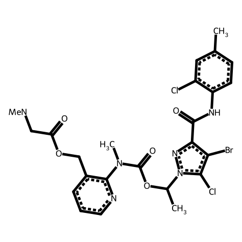 CNCC(=O)OCc1cccnc1N(C)C(=O)OC(C)n1nc(C(=O)Nc2ccc(C)cc2Cl)c(Br)c1Cl